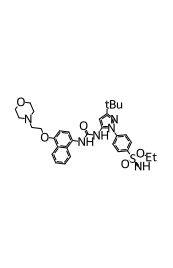 CCOS(=N)(=O)c1ccc(-n2nc(C(C)(C)C)cc2NC(=O)Nc2ccc(OCCN3CCOCC3)c3ccccc23)cc1